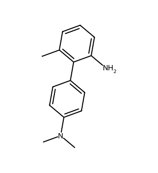 Cc1cccc(N)c1-c1ccc(N(C)C)cc1